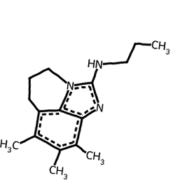 CCCNc1nc2c(C)c(C)c(C)c3c2n1CCC3